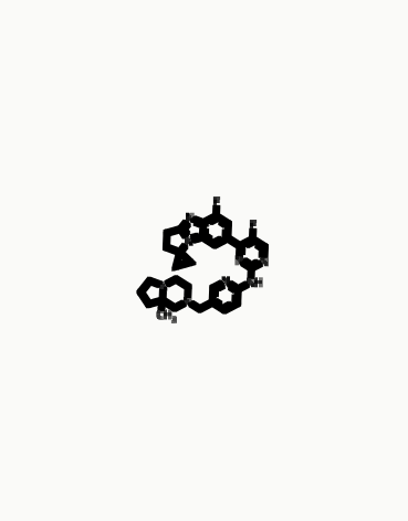 CC12CCCN1CCN(Cc1ccc(Nc3ncc(F)c(-c4cc(F)c5nc6n(c5c4)C4(CC6)CC4)n3)nc1)C2